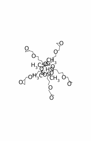 C[Si]1(CCCOCC2CO2)O[SiH](CCCOCC2CO2)O[Si](C)(CCCOCC2CO2)O[Si](C)(CCCOCC2CO2)O[Si](C)(CCCOCC2CO2)O1